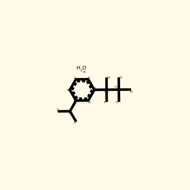 CC(C)c1cccc(C(C)(C)C(C)(C)C)c1.O